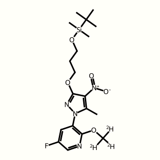 [2H]C([2H])([2H])Oc1ncc(F)cc1-n1nc(OCCCO[Si](C)(C)C(C)(C)C)c([N+](=O)[O-])c1C